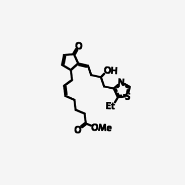 CCc1scnc1CC(O)C/C=C1/C(=O)C=CC1C/C=C\CCCC(=O)OC